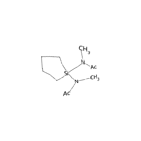 CC(=O)N(C)[Si]1(N(C)C(C)=O)CCCC1